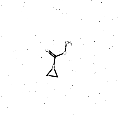 COC(=O)N1CC1